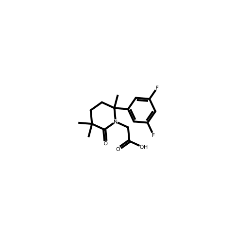 CC1(C)CCC(C)(c2cc(F)cc(F)c2)N(CC(=O)O)C1=O